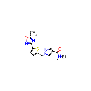 CCN(C)C(=O)c1cnn(Cc2ccc(-c3noc(C(F)(F)F)n3)s2)c1